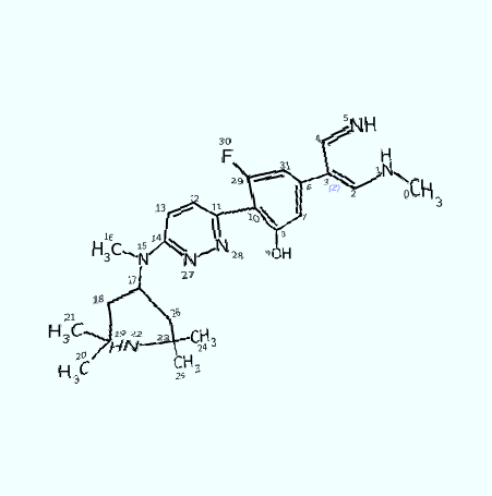 CN/C=C(\C=N)c1cc(O)c(-c2ccc(N(C)C3CC(C)(C)NC(C)(C)C3)nn2)c(F)c1